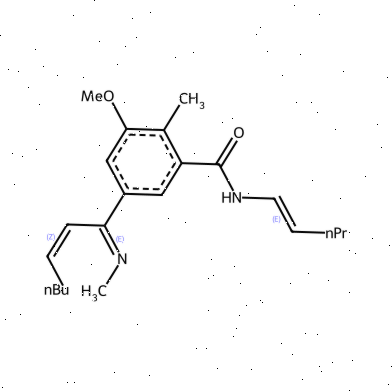 CCC/C=C/NC(=O)c1cc(C(/C=C\CCCC)=N/C)cc(OC)c1C